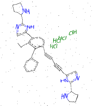 CCc1c(-c2cnc(C3CCCN3)[nH]2)ccc(C#CC#Cc2cnc(C3CCCN3)[nH]2)c1-c1ccccc1.Cl.Cl.Cl.Cl